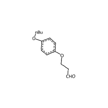 CCCCOc1ccc(OCCC=O)cc1